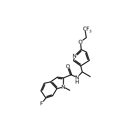 CC(NC(=O)c1cc2ccc(F)cc2n1C)c1ccc(OCC(F)(F)F)nc1